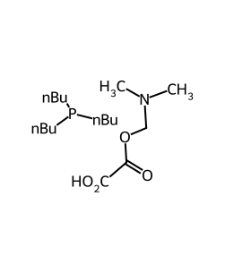 CCCCP(CCCC)CCCC.CN(C)COC(=O)C(=O)O